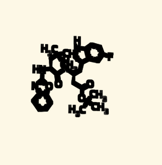 CC(C)(C)C[C@H](Nc1nc2ccccc2o1)C(=O)N[C@H](CC(=O)OC(C)(C)C)CC1CNc2ccc(F)cc21